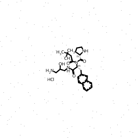 CC(C)(C)CC(=O)N(C(=O)[C@@H]1CCCN1)[C@H](Cc1ccc2ccccc2c1)C(=O)NCC(O)CN.Cl